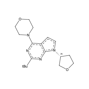 CC(C)(C)c1nc(N2CCOCC2)c2ccn([C@@H]3CCOC3)c2n1